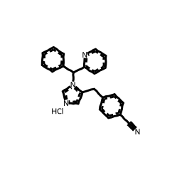 Cl.N#Cc1ccc(Cc2cncn2C(c2ccccc2)c2ccccn2)cc1